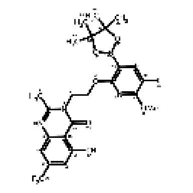 COc1nc(OCCn2c(C)nc3cc(C(F)(F)F)cc(C#N)c3c2=O)c(B2OC(C)(C)C(C)(C)O2)cc1Cl